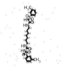 Cc1cccc(S(=O)(=O)NC(=O)NCCCCCCCNC(=O)NS(=O)(=O)c2cccc(C)c2)c1